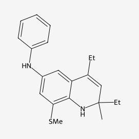 CCC1=CC(C)(CC)Nc2c(SC)cc(Nc3ccccc3)cc21